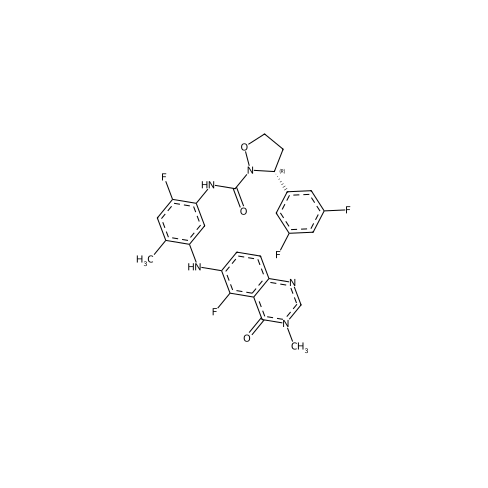 Cc1cc(F)c(NC(=O)N2OCC[C@@H]2c2cc(F)cc(F)c2)cc1Nc1ccc2ncn(C)c(=O)c2c1F